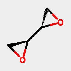 C1O[C@@H]1[C@@H]1CO1